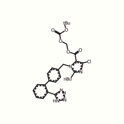 CCCCc1nc(Cl)c(C(=O)OCOC(=O)OC(C)(C)C)n1Cc1ccc(-c2ccccc2-c2nnn[nH]2)cc1